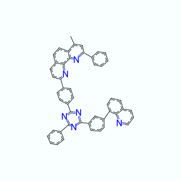 Cc1cc(-c2ccccc2)nc2c1ccc1ccc(-c3ccc(-c4nc(-c5ccccc5)nc(-c5cccc(-c6cccc7cccnc67)c5)n4)cc3)nc12